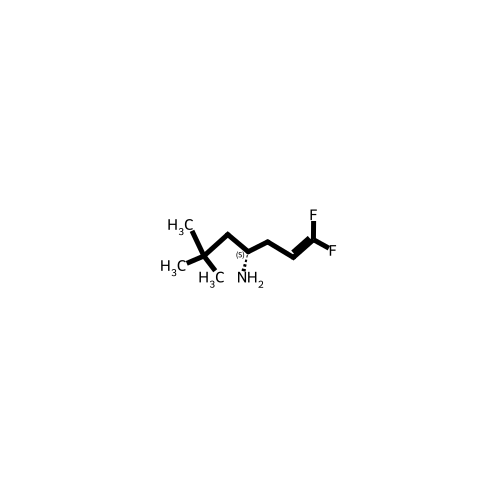 CC(C)(C)C[C@@H](N)CC=C(F)F